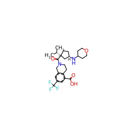 CC(C)[C@]1(C(=O)N2CCc3c(cc(C(F)(F)F)cc3C(=O)O)C2)CC[C@@H](NC2CCOCC2)C1